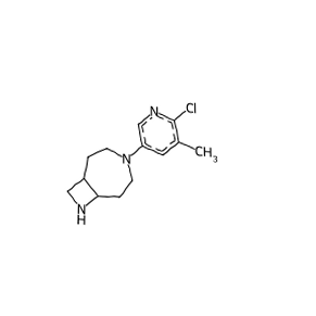 Cc1cc(N2CCC3CNC3CC2)cnc1Cl